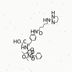 CC1OC(C)N(S(=O)(=O)c2ccccc2)[C@@H]1C(=O)N[C@@H](Cc1ccc(NC(=O)CCCCNC2=NCCCN2)cc1)C(=O)O